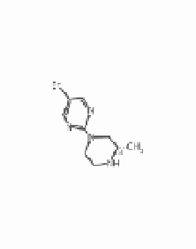 CCc1cnc(N2CCN[C@@H](C)C2)nc1